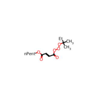 CCCCCOC(=O)C=CC(=O)OOOC(C)(C)CC